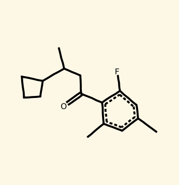 Cc1cc(C)c(C(=O)CC(C)C2CCC2)c(F)c1